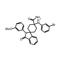 COc1cccc(N2C(=O)c3ccccc3C23CCC(Nc2cccc(Br)c2)(C(N)=O)CC3)c1